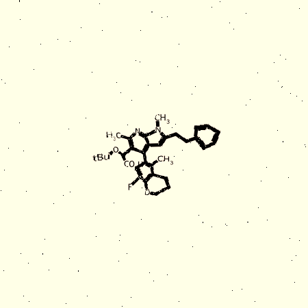 Cc1nc2c(cc(CCc3ccccc3)n2C)c(-c2cc(F)c3c(c2C)CCCO3)c1C(OC(C)(C)C)C(=O)O